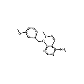 CO/N=C\c1c(N)ncnc1OCc1cccc(OC)c1